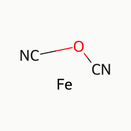 N#COC#N.[Fe]